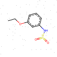 CCOc1cccc(N[SH](=O)=O)c1